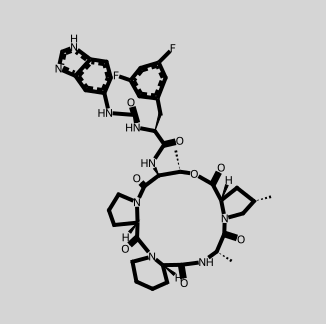 C[C@H]1C[C@H]2C(=O)O[C@@H](C)[C@H](NC(=O)[C@H](Cc3cc(F)cc(F)c3)NC(=O)Nc3ccc4[nH]cnc4c3)C(=O)N3CCC[C@H]3C(=O)N3CCCC[C@H]3C(=O)N[C@@H](C)C(=O)N2C1